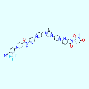 C[C@H]1CN(C2CCN(c3ccc4c(n3)CN(C3CCC(=O)NC3=O)C4=O)CC2)CCN1CC1CCN(c2ccc(NC(=O)C3CCN(c4ccc(C#N)c(C(F)(F)F)c4)CC3)nc2)CC1